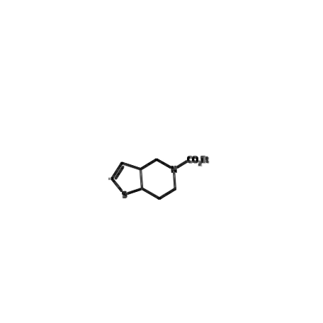 CCOC(=O)N1CCC2S[C]=CC2C1